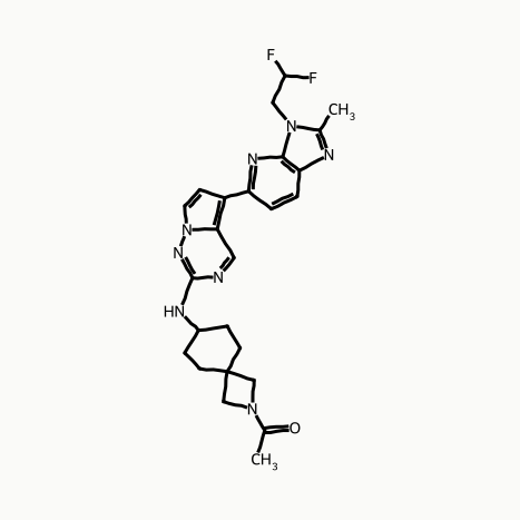 CC(=O)N1CC2(CCC(Nc3ncc4c(-c5ccc6nc(C)n(CC(F)F)c6n5)ccn4n3)CC2)C1